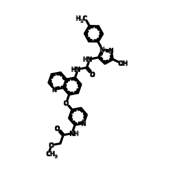 COCC(=O)Nc1cc(Oc2ccc(NC(=O)Nc3cc(O)nn3-c3ccc(C)cc3)c3cccnc23)ccn1